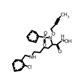 CC#CCON(C(CCCCNCc1ccccc1Cl)C(=O)NO)S(=O)(=O)c1ccccc1